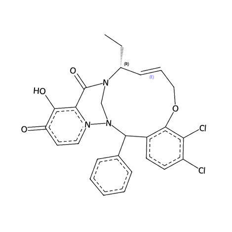 CC[C@@H]1/C=C/COc2c(ccc(Cl)c2Cl)C(c2ccccc2)N2CN1C(=O)c1c(O)c(=O)ccn12